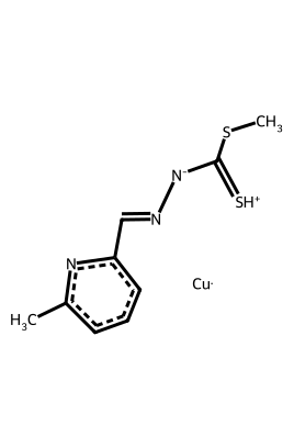 CSC(=[SH+])[N-]N=Cc1cccc(C)n1.[Cu]